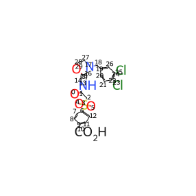 O=C(CS(=O)(=O)c1ccc(C(=O)O)cc1)NC[C@H]1CN(Cc2ccc(Cl)c(Cl)c2)CCO1